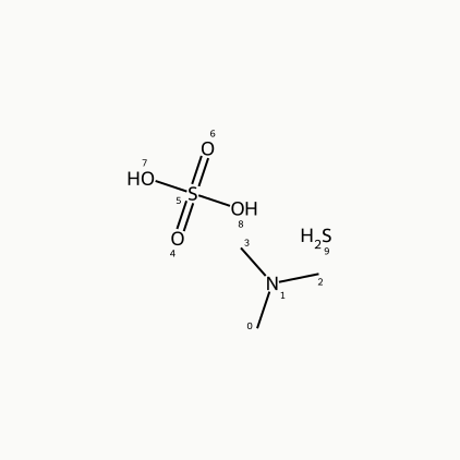 CN(C)C.O=S(=O)(O)O.S